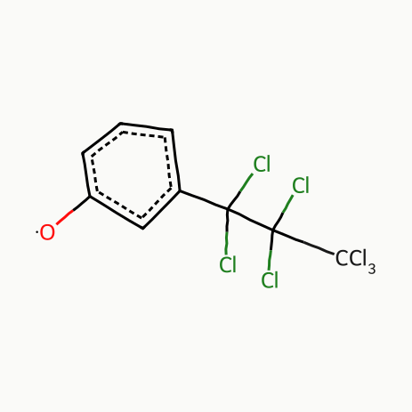 [O]c1cccc(C(Cl)(Cl)C(Cl)(Cl)C(Cl)(Cl)Cl)c1